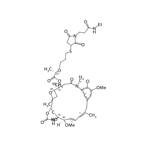 CCNC(=O)CCN1C(=O)CC(SCCCO[C@@H](C)C(=O)O[C@H]2CC(=O)N(C)c3cc(cc(OC)c3Cl)C/C(C)=C/C=C/[C@@H](OC)[C@@]3(O)CC(OC(=O)N3)C3(C)C[C@@]2(C)O3)C1=O